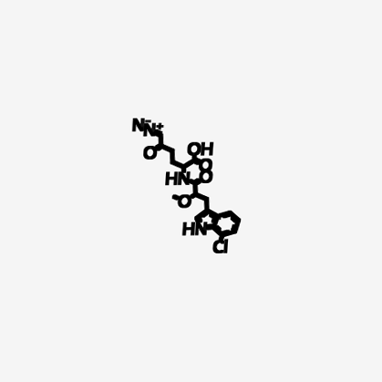 COC(Cc1c[nH]c2c(Cl)cccc12)C(=O)NC(CCC(=O)C=[N+]=[N-])C(=O)O